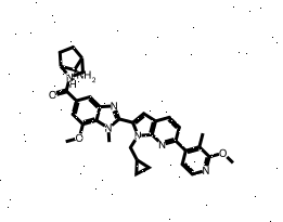 COc1nccc(-c2ccc3cc(-c4nc5cc(C(=O)N6CC7CCC6[C@@H]7N)cc(OC)c5n4C)n(CC4CC4)c3n2)c1C